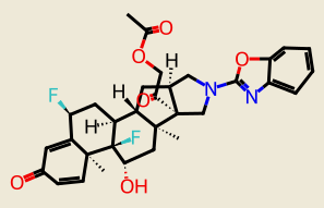 CC(=O)OCC(=O)[C@@]12CN(c3nc4ccccc4o3)C[C@@H]1C[C@H]1[C@@H]3C[C@H](F)C4=CC(=O)C=C[C@]4(C)[C@@]3(F)[C@@H](O)C[C@@]12C